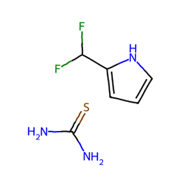 FC(F)c1ccc[nH]1.NC(N)=S